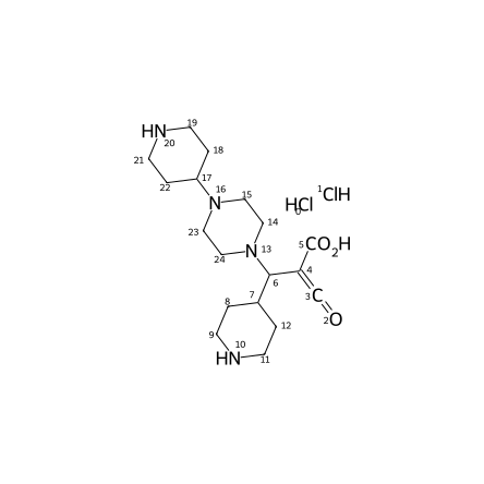 Cl.Cl.O=C=C(C(=O)O)C(C1CCNCC1)N1CCN(C2CCNCC2)CC1